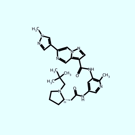 Cc1ncc(NC(=O)C[C@@H]2CCCN2CC(C)(C)C)cc1NC(=O)c1cnn2cc(-c3cnn(C)c3)ncc12